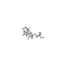 CCC(=O)OCC(=O)OC1(CC)C2CC3CC(C2)CC1C3